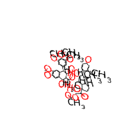 CC(=O)OCC(=O)[C@@]1(O)CC[C@H]2[C@@H]3C[C@H](C)C4=CC(=O)C=C[C@]4(C)[C@H]3[C@@H](O)C[C@@]21C.COc1cc([C@@H]2c3cc4c(cc3[C@H](O)[C@H]3COC(=O)[C@H]23)OCO4)cc(OC)c1OC